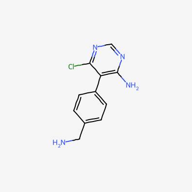 NCc1ccc(-c2c(N)ncnc2Cl)cc1